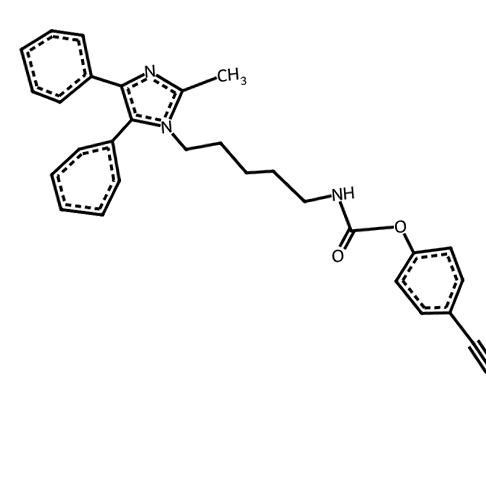 Cc1nc(-c2ccccc2)c(-c2ccccc2)n1CCCCCNC(=O)Oc1ccc(C#N)cc1